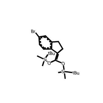 CC(C)(C)[Si](C)(C)OC(O[Si](C)(C)C(C)(C)C)=C1CCc2cc(Br)ccc21